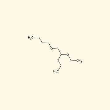 C=CCCOCC(OCC)OCC